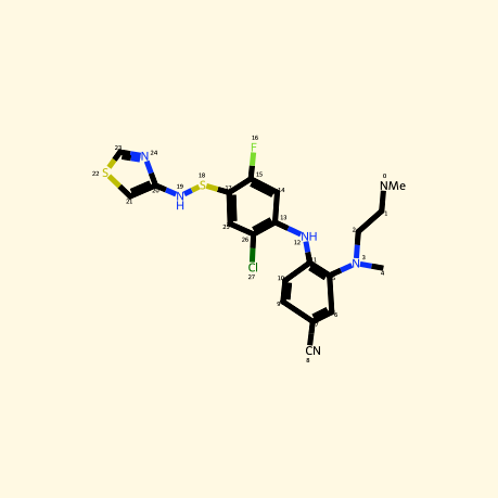 CNCCN(C)c1cc(C#N)ccc1Nc1cc(F)c(SNc2cscn2)cc1Cl